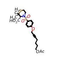 CC(=O)OCCCCC#CCOc1ccc(S(=O)(=O)N2CCSC(C)(C)[C@@H]2C(=O)O)cc1